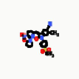 Cc1cc2c(cc1C#N)/C(=C/c1ccc([N+](=O)[O-])c(N3CCCCC3)n1)C(=O)N2c1ccc(S(C)(=O)=O)cc1